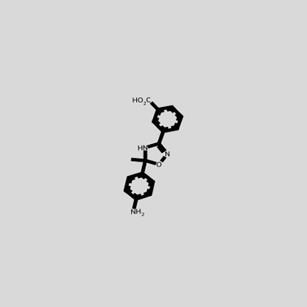 CC1(c2ccc(N)cc2)NC(c2cccc(C(=O)O)c2)=NO1